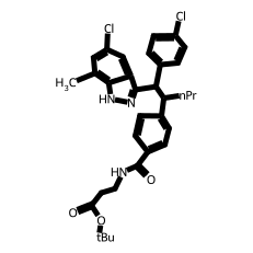 CCCC(c1ccc(C(=O)NCCC(=O)OC(C)(C)C)cc1)C(c1ccc(Cl)cc1)c1n[nH]c2c(C)cc(Cl)cc12